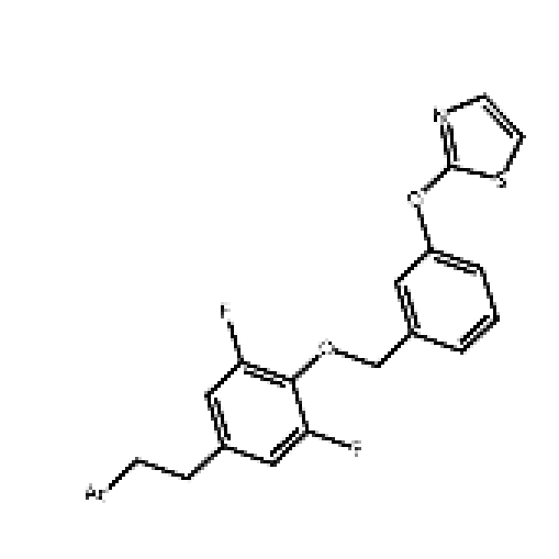 CC(=O)CCc1cc(F)c(OCc2cccc(Oc3nccs3)c2)c(F)c1